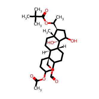 CC(=O)OC1CC[C@@]2(COC=O)C(CC[C@@H]3[C@@H]2CC[C@]2(C)[C@@H](C(C)OC(=O)C(C)(C)C)CC(O)[C@@]32O)C1